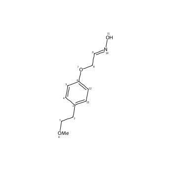 COCCc1ccc(OCC=NO)cc1